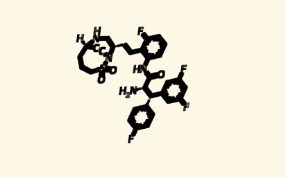 N[C@H](C(=O)Nc1cccc(F)c1CC[C@H]1CN[C@@H]2CCCS(=O)(=O)N1CC2)[C@@H](c1ccc(F)cc1)c1cc(F)cc(F)c1